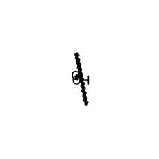 C=CCCCCCCCCC(C=CCCCCCCCCCC)C(=O)O